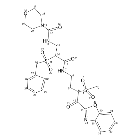 CS(=O)(=O)C(CCNC(=O)C(CNC(=O)N1CCOCC1)S(=O)(=O)Cc1ccccc1)C(=O)c1nc2ccccc2o1